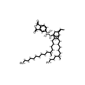 C/C=C1/CC2(NS(=O)(=O)c3ccc4c(c3)C(=O)OC4=O)CC1C(CCCCCC(C)CCCC(C)C)C2CCCCC(C)CCCCCCCCCC(C)CC